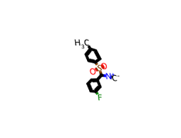 [C-]#[N+]C(c1cccc(F)c1)S(=O)(=O)c1ccc(C)cc1